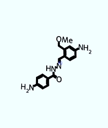 COCc1cc(N)ccc1/C=N/NC(=O)c1ccc(N)cc1